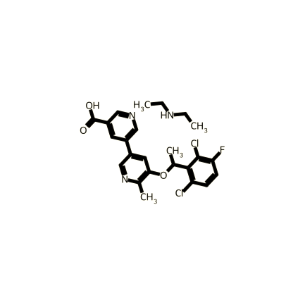 CCNCC.Cc1ncc(-c2cncc(C(=O)O)c2)cc1OC(C)c1c(Cl)ccc(F)c1Cl